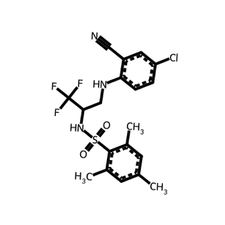 Cc1cc(C)c(S(=O)(=O)NC(CNc2ccc(Cl)cc2C#N)C(F)(F)F)c(C)c1